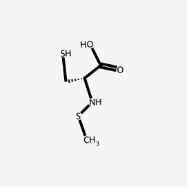 CSN[C@H](CS)C(=O)O